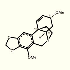 COc1c2c(cc3c1OCO3)[C@]13C=C[C@H](OC)C[C@H]1N(CC3)C2